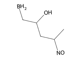 BCC(O)CC(C)N=O